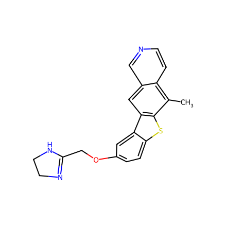 Cc1c2ccncc2cc2c1sc1ccc(OCC3=NCCN3)cc12